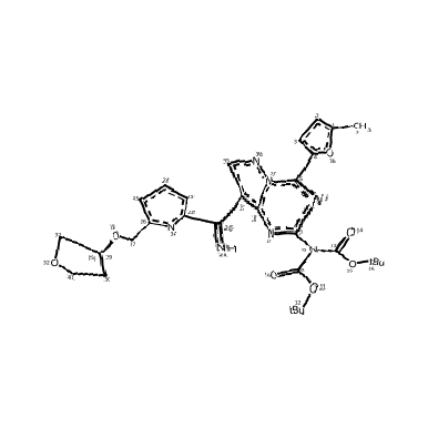 Cc1ccc(-c2nc(N(C(=O)OC(C)(C)C)C(=O)OC(C)(C)C)nc3c(C(=N)c4cccc(CO[C@H]5CCOC5)n4)cnn23)o1